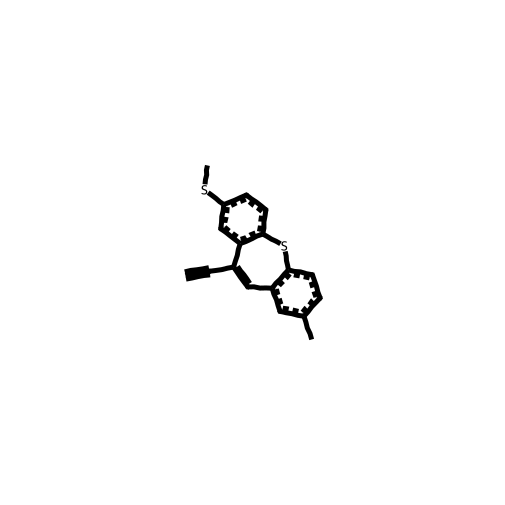 C#CC1=Cc2cc(C)ccc2Sc2ccc(SC)cc21